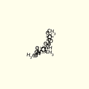 COc1ccc2oc(OC(=O)Nc3ccc(-n4nc(OC)oc4=O)cc3C)cc2c1